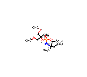 O=COCC(C=O)(COC=O)OP(=O)(O)NC(CC(=O)O)(CC(=O)O)C(=O)O